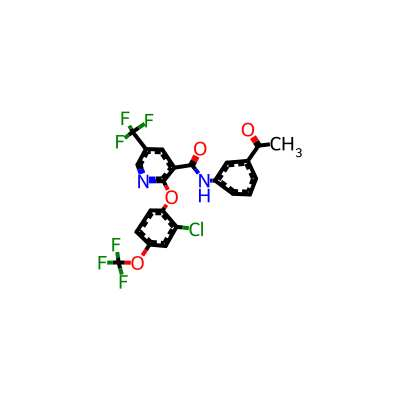 CC(=O)c1cccc(NC(=O)c2cc(C(F)(F)F)cnc2Oc2ccc(OC(F)(F)F)cc2Cl)c1